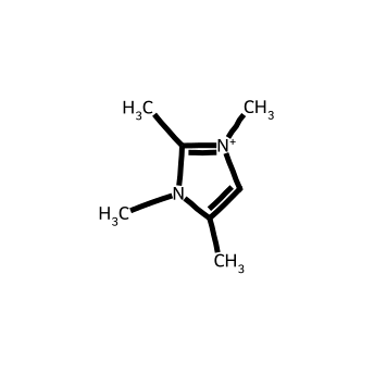 Cc1c[n+](C)c(C)n1C